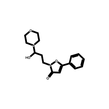 O=c1cc(-c2ccccc2)on1CCC(O)N1CCOCC1